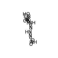 C=CCn1c(=O)c2cnc(Nc3ccc(N4CCC(CNC5CCN(c6ccc(C7CCC(=O)NC7=O)cc6)CC5)CC4)cc3)nc2n1-c1ccc2c(n1)[C@@](O)(CC)CC2